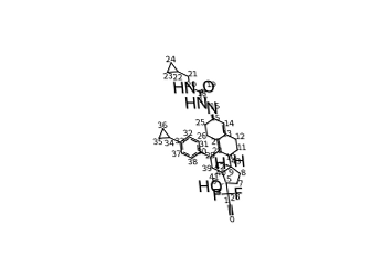 C#CC(F)(F)[C@]1(O)CC[C@H]2[C@@H]3CCC4=C/C(=N/NC(=O)NCC5CC5)CCC4=C3[C@H](c3ccc(C4CC4)cc3)C[C@@]21C